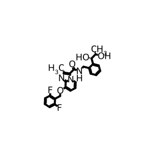 Cc1nc2c(OCc3c(F)cccc3F)cccn2c1C(=O)NCc1ccccc1[C@H](O)[C@@H](C)O